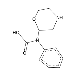 O=C(O)N(c1ccccc1)C1CNCCO1